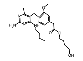 CCCCNc1nc(N)nc(C)c1Cc1ccc(CC(=O)OCCCCO)cc1OC